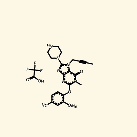 CC#CCn1c(N2CCNCC2)nc2nc(Oc3ccc(C#N)cc3OC)n(C)c(=O)c21.O=C(O)C(F)(F)F